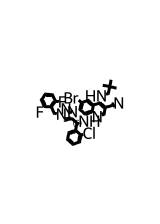 CC(C)(C)CNc1c(C#N)cnc2c(N[C@H](c3cn(Cc4c(F)cccc4F)nn3)c3ccccc3Cl)cc(Br)cc12